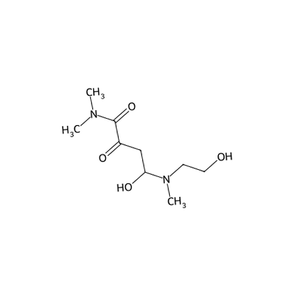 CN(C)C(=O)C(=O)CC(O)N(C)CCO